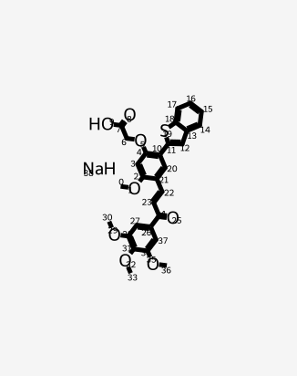 COc1cc(OCC(=O)O)c(-c2cc3ccccc3s2)cc1/C=C/C(=O)c1cc(OC)c(OC)c(OC)c1.[NaH]